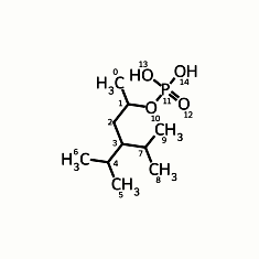 CC(CC(C(C)C)C(C)C)OP(=O)(O)O